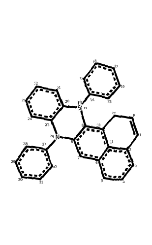 C1=Cc2cccc3cc4c(c(c23)C1)[SiH](c1ccccc1)c1ccccc1N4c1ccccc1